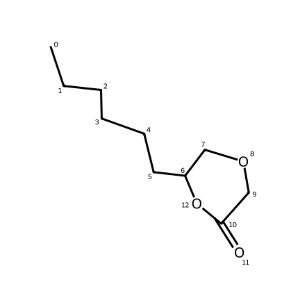 CCCCCCC1COCC(=O)O1